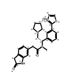 CN(C(=O)Cc1ccc2c(c1)NC(=O)C2)[C@H](CN1CC[C@H](O)C1)c1cccc(-c2nnco2)c1